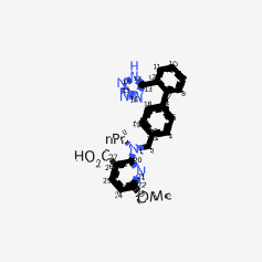 CCCN(Cc1ccc(-c2ccccc2-c2nnn[nH]2)cc1)c1nc(OC)ccc1C(=O)O